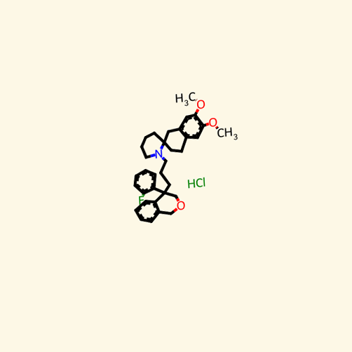 COc1cc2c(cc1OC)CC1(CCCCN1CCCC1(c3ccccc3F)COCc3ccccc31)CC2.Cl